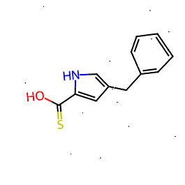 OC(=S)c1cc(Cc2ccccc2)c[nH]1